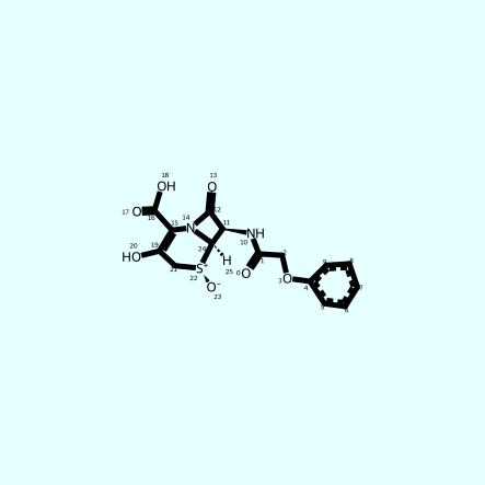 O=C(COc1ccccc1)N[C@@H]1C(=O)N2C(C(=O)O)=C(O)C[S@@+]([O-])[C@H]12